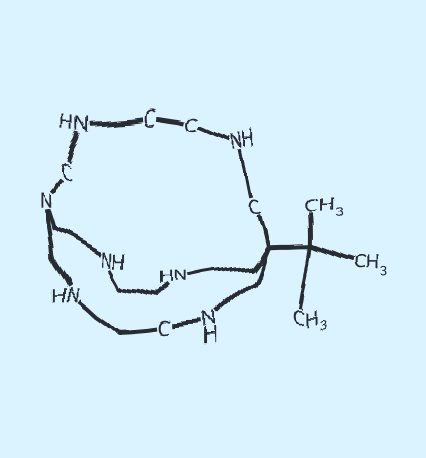 CC(C)(C)C12CNCCNCN(CNCCNC1)CNCCNC2